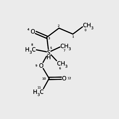 CCCC(=O)[SH](C)(C)(C)OC(C)=O